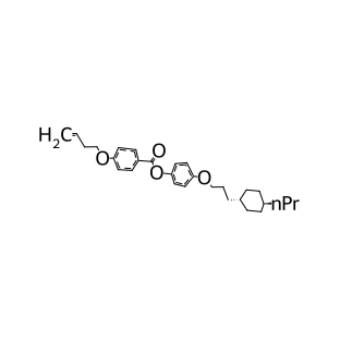 C=CCCOc1ccc(C(=O)Oc2ccc(OCCC[C@H]3CC[C@H](CCC)CC3)cc2)cc1